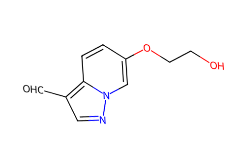 O=Cc1cnn2cc(OCCO)ccc12